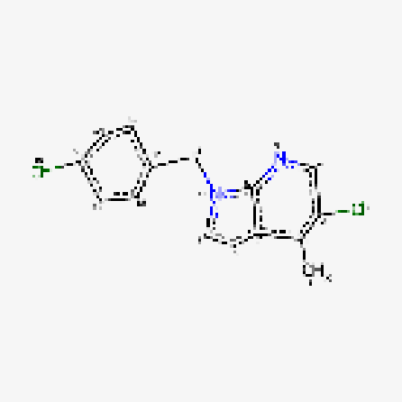 Cc1c(Cl)cnc2c1ccn2Cc1ccc(Cl)cc1